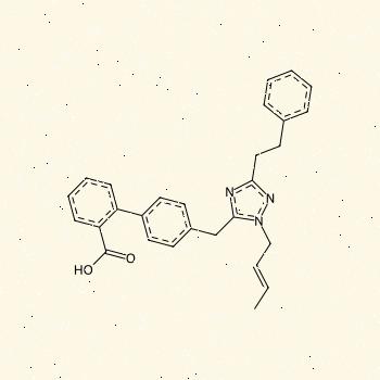 CC=CCn1nc(CCc2ccccc2)nc1Cc1ccc(-c2ccccc2C(=O)O)cc1